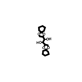 O[C@H](C1COC2(CCCCC2)O1)[C@H](O)C1COC2(CCCCC2)O1